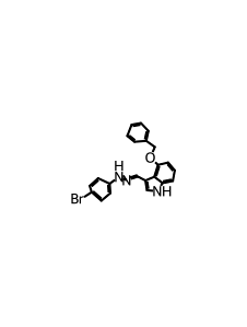 Brc1ccc(N/N=C/c2c[nH]c3cccc(OCc4ccccc4)c23)cc1